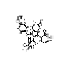 CS(=O)(=O)NC(=O)c1c(-c2ccc[nH]c2=O)c2cc(Cl)ccc2n1Cc1ccc(OC(F)(F)F)cc1